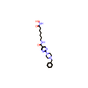 O=C(CCCCCCNC(=O)c1cnc(N2CCN(Cc3ccccc3)CC2)nc1)NO